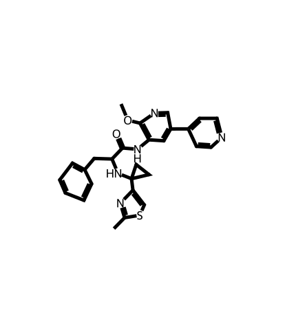 COc1ncc(-c2ccncc2)cc1NC(=O)C(Cc1ccccc1)NC1(c2csc(C)n2)CC1